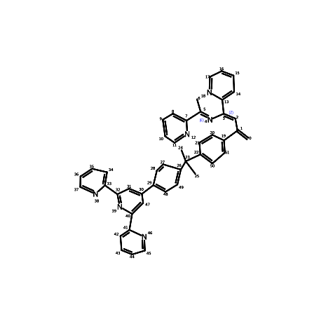 C=C(/C=C(\N=C(/C)c1ccccn1)c1ccccn1)c1ccc(C(C)(C)c2ccc(-c3cc(-c4ccccn4)nc(-c4ccccn4)c3)cc2)cc1